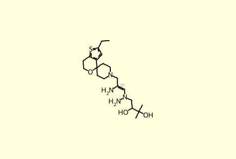 CCc1cc2c(s1)CCOC21CCN(C/C(N)=C/N(N)CC(O)C(C)(C)O)CC1